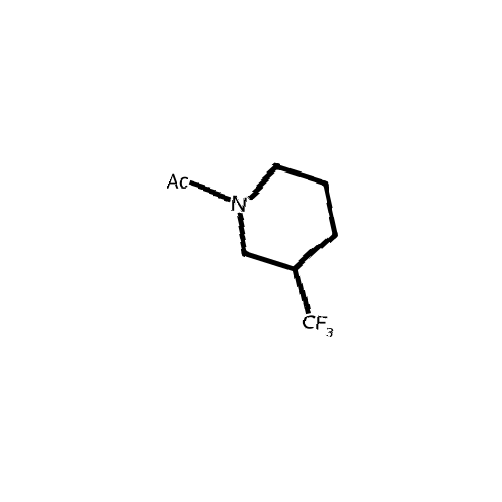 CC(=O)N1CCCC(C(F)(F)F)C1